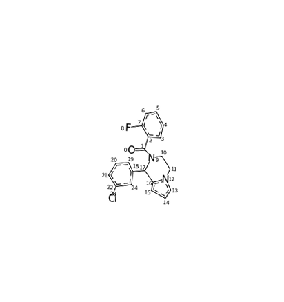 O=C(c1ccccc1F)N1CCn2cccc2C1c1cccc(Cl)c1